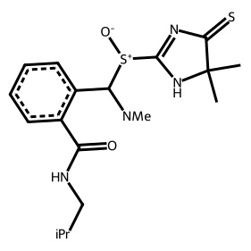 CNC(c1ccccc1C(=O)NCC(C)C)[S+]([O-])C1=NC(=S)C(C)(C)N1